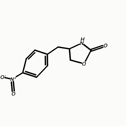 O=C1NC(Cc2ccc([N+](=O)[O-])cc2)CO1